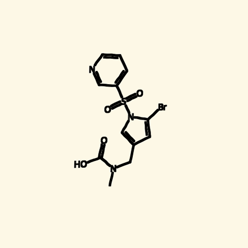 CN(Cc1cc(Br)n(S(=O)(=O)c2cccnc2)c1)C(=O)O